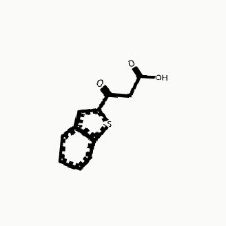 O=C(O)CC(=O)c1cc2ccccc2s1